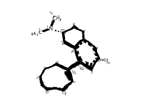 CN(C)[C@@H]1CCc2cccc(C3=CCCCCC3)c2C1.Cl